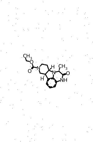 CCOC(=O)N1CC[C@H]2[C@H](C1)c1cccc3c1N2[C@@H](C)C(=O)N3